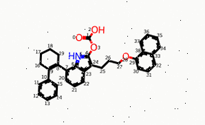 O=C(O)Oc1[nH]c2c(C3=C(c4ccccc4)CCCC3)cccc2c1CCCOc1cccc2ccccc12